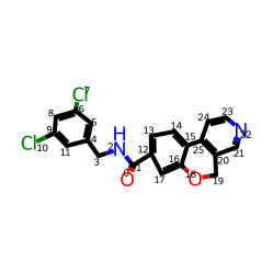 O=C(NCc1cc(Cl)cc(Cl)c1)c1ccc2c(c1)OCc1cnccc1-2